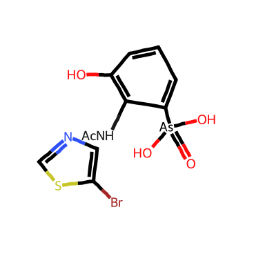 Brc1cncs1.CC(=O)Nc1c(O)cccc1[As](=O)(O)O